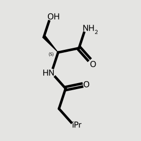 CC(C)CC(=O)N[C@@H](CO)C(N)=O